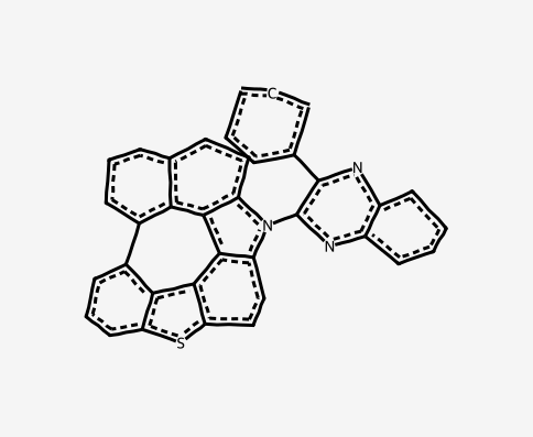 c1ccc(-c2nc3ccccc3nc2-n2c3ccc4cccc5c4c3c3c4c(ccc32)sc2cccc-5c24)cc1